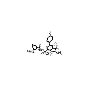 COc1cncc(C(=O)NC[C@](O)(c2cc3c(c(-c4ccc(F)cc4)n2)OC[C@]3(C)C(N)=O)C(F)(F)F)c1